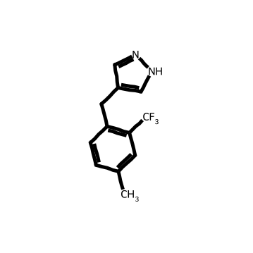 Cc1ccc(Cc2cn[nH]c2)c(C(F)(F)F)c1